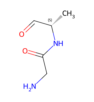 C[C@@H](C=O)NC(=O)CN